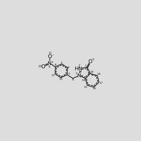 O=c1[nH]n(Cc2ccc([N+](=O)[O-])cc2)c2ccccc12